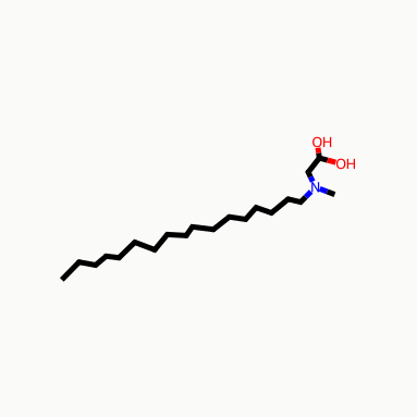 CCCCCCCCCCCCCCCCCN(C)CC(O)O